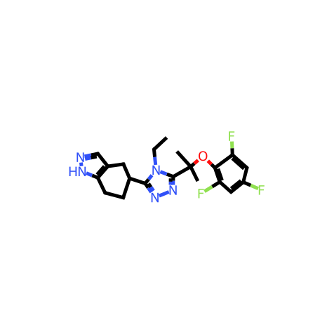 CCn1c(C2CCc3[nH]ncc3C2)nnc1C(C)(C)Oc1c(F)cc(F)cc1F